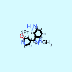 CC(C)Oc1cc(-c2nn(C)c3ccc(N)cc23)ccn1